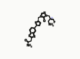 NC/C(=C\F)Cn1ncn(Cc2ccc(-c3ccc4sc(CC(N)=O)nc4c3)s2)c1=O